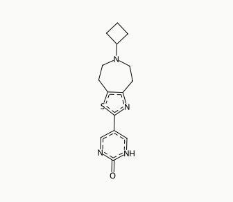 O=c1ncc(-c2nc3c(s2)CCN(C2CCC2)CC3)c[nH]1